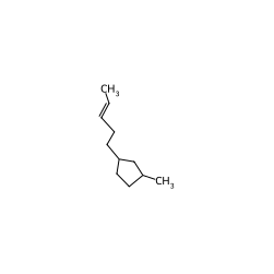 CC=CCCC1CCC(C)C1